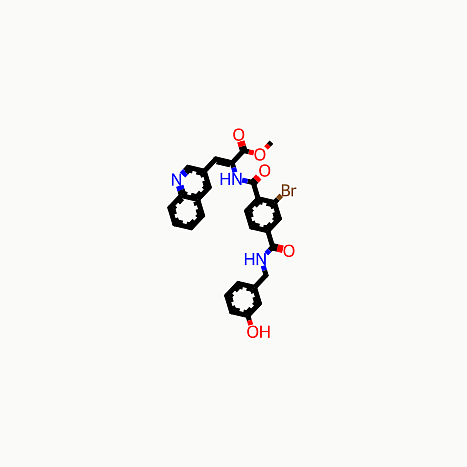 COC(=O)C(=Cc1cnc2ccccc2c1)NC(=O)c1ccc(C(=O)NCc2cccc(O)c2)cc1Br